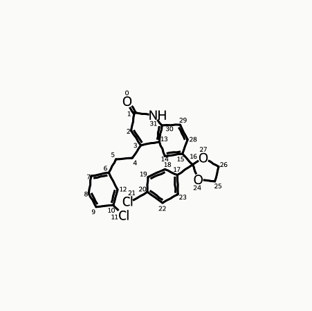 O=c1cc(CCc2cccc(Cl)c2)c2cc(C3(c4ccc(Cl)cc4)OCCO3)ccc2[nH]1